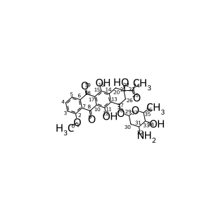 COc1cccc2c1C(=O)c1c(O)c3c(c(O)c1C2=O)C[C@](O)(C(C)=O)C[C@H]3OC1CC(N)C(O)C(C)O1